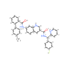 O=C(N[C@H](c1ccc(F)cc1)c1ccccn1)c1cnc2cc(NC(=O)c3ccccc3-c3ccc(C(F)(F)F)cc3)ccc2c1